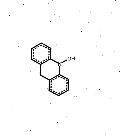 ON1c2ccccc2Cc2ccccc21